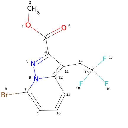 COC(=O)c1nn2c(Br)cccc2c1CC(F)(F)F